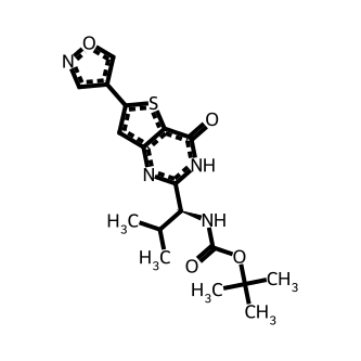 CC(C)[C@H](NC(=O)OC(C)(C)C)c1nc2cc(-c3cnoc3)sc2c(=O)[nH]1